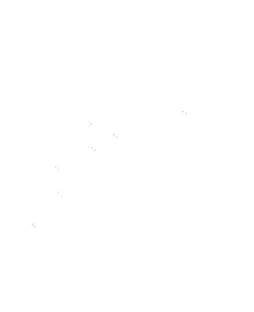 O=CN(CCc1ccccc1)c1ccc(-c2ccnc(NCCNc3ccc([N+](=O)[O-])cn3)n2)cc1